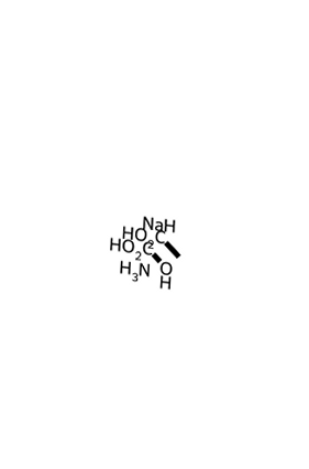 CC(=O)O.N.O=C(O)O.[NaH]